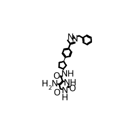 Nc1c(C(=O)N[C@H]2CC[C@@H](c3ccc(-c4cnn(Cc5ccccc5)c4)cc3)C2)[nH]c(=O)[nH]c1=O